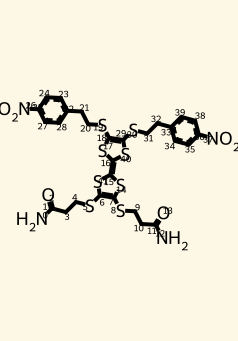 NC(=O)CCSC1=C(SCCC(N)=O)SC(=C2SC(SCCc3ccc([N+](=O)[O-])cc3)=C(SCCc3ccc([N+](=O)[O-])cc3)S2)S1